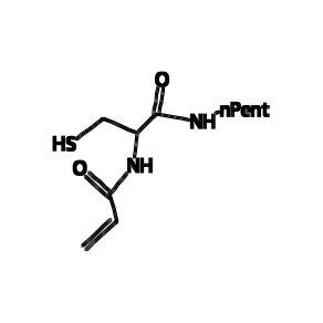 C=CC(=O)NC(CS)C(=O)NCCCCC